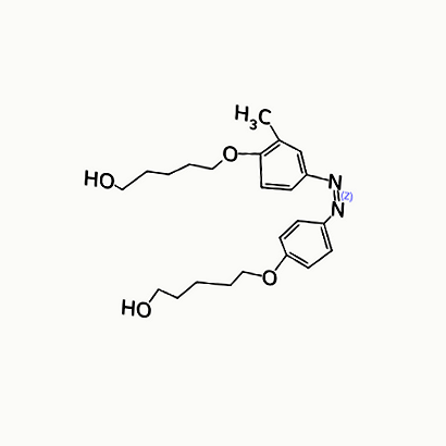 Cc1cc(/N=N\c2ccc(OCCCCCO)cc2)ccc1OCCCCCO